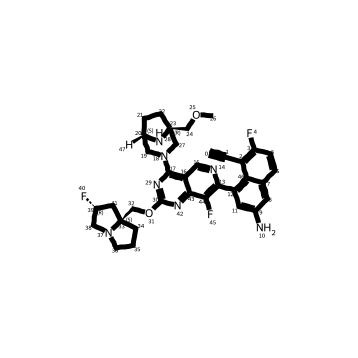 C#Cc1c(F)ccc2cc(N)cc(-c3ncc4c(N5C[C@@H]6CC[C@](COC)(C5)N6)nc(OC[C@@]56CCCN5C[C@H](F)C6)nc4c3F)c12